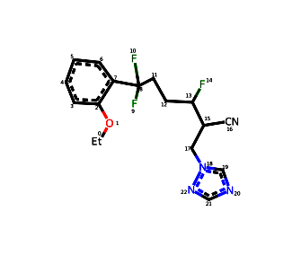 CCOc1ccccc1C(F)(F)CCC(F)C(C#N)Cn1cncn1